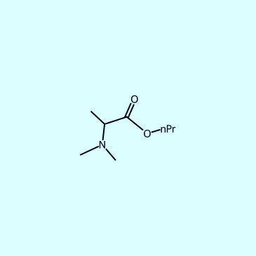 CCCOC(=O)C(C)N(C)C